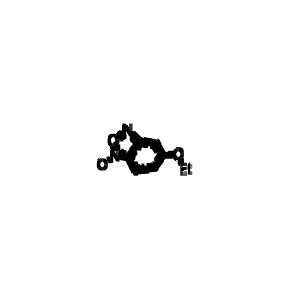 CCOc1ccc2c(c1)no[n+]2[O-]